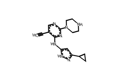 C#Cc1cnc(N2CCNCC2)nc1Nc1cc(C2CC2)n[nH]1